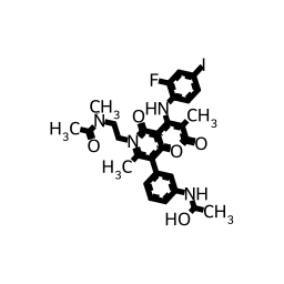 CC(=O)N(C)CCn1c(C)c(-c2cccc(NC(C)O)c2)c2oc(=O)c(C)c(Nc3ccc(I)cc3F)c2c1=O